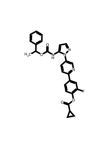 CC(OC(=O)Nc1ccnn1-c1ccc(-c2ccc(OC(=O)C3CC3)c(F)c2)nc1)c1ccccc1